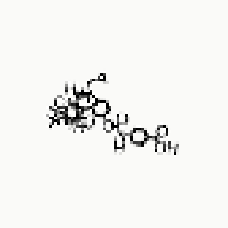 CC(C)(C)C(C)(O)[C@H]1C[C@@]23CC[C@@]1(C)[C@@H]1Oc4c(OC(=O)Nc5ccc(C(=O)O)cc5)ccc5c4[C@@]12CCN(CC1CC1)[C@@H]3C5